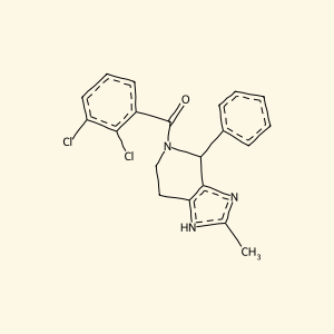 Cc1nc2c([nH]1)CCN(C(=O)c1cccc(Cl)c1Cl)C2c1ccccc1